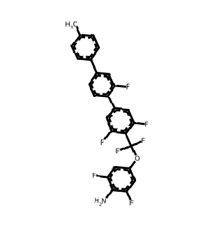 Cc1ccc(-c2ccc(-c3cc(F)c(C(F)(F)Oc4cc(F)c(N)c(F)c4)c(F)c3)c(F)c2)cc1